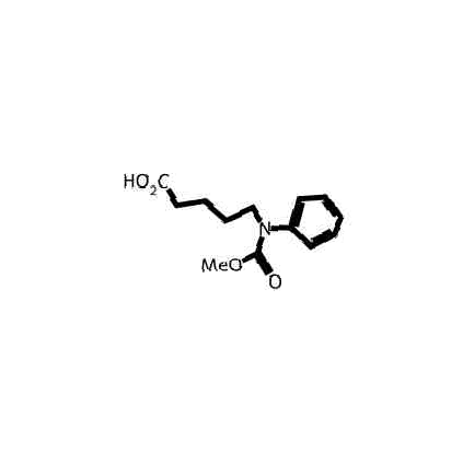 COC(=O)N(CCCCC(=O)O)c1ccccc1